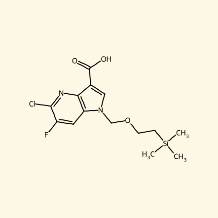 C[Si](C)(C)CCOCn1cc(C(=O)O)c2nc(Cl)c(F)cc21